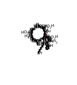 CCC(C)C1NC(=O)C(C(C)CC(=O)O)NC(=O)C(CO)NC(=O)CNC(=O)C(CC(=O)O)NC(=O)C(C)NC(=O)C(CC(=O)O)NC(=O)C(CCCN)NC(=O)CNC(=O)C(NC(=O)C(CC(=O)O)NC(=O)C(CC(N)=O)NC(=O)C(Cc2c[nH]c3ccccc23)NC(=O)CCCCCCCCC(C)C)C(C)OC1=O